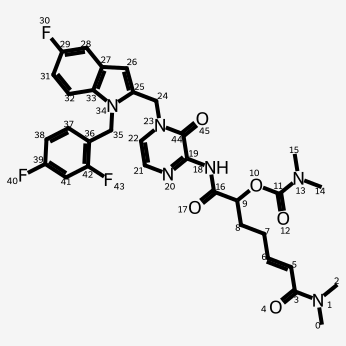 CN(C)C(=O)C=CCCC(OC(=O)N(C)C)C(=O)Nc1nccn(Cc2cc3cc(F)ccc3n2Cc2ccc(F)cc2F)c1=O